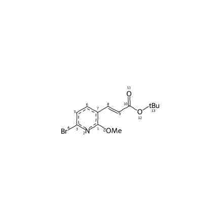 COc1nc(Br)ccc1/C=C/C(=O)OC(C)(C)C